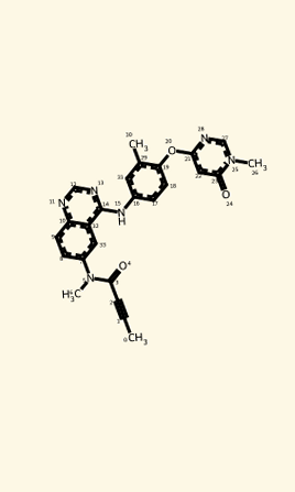 CC#CC(=O)N(C)c1ccc2ncnc(Nc3ccc(Oc4cc(=O)n(C)cn4)c(C)c3)c2c1